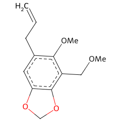 C=CCc1cc2c(c(COC)c1OC)OCO2